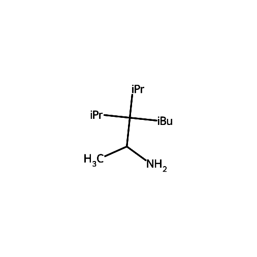 CCC(C)C(C(C)C)(C(C)C)C(C)N